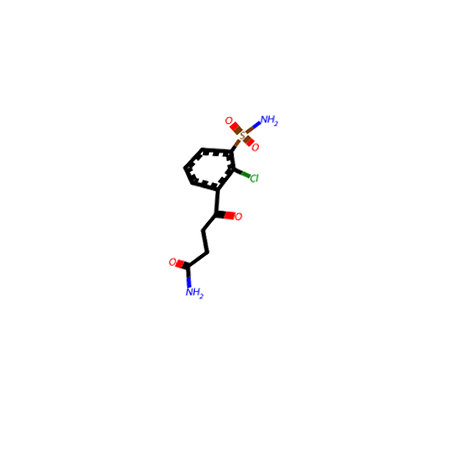 NC(=O)CCC(=O)c1cccc(S(N)(=O)=O)c1Cl